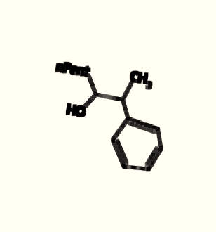 CCCCCC(O)C(C)c1ccccc1